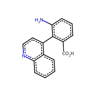 Nc1cccc(C(=O)O)c1-c1ccnc2ccccc12